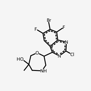 CC1(O)CNCC(c2nc(Cl)nc3c(F)c(Br)c(F)cc23)OC1